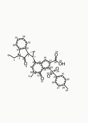 CCN1C(=O)[C@@]2(C[C@H]2c2cn(C)c(=O)c3c2cc(C(=O)O)n3S(=O)(=O)c2ccc(C)cc2)c2ccccc21